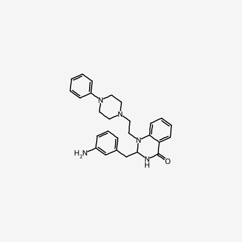 Nc1cccc(CC2NC(=O)c3ccccc3N2CCN2CCN(c3ccccc3)CC2)c1